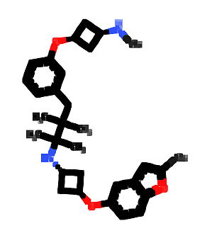 CC(C)(C)N[C@H]1C[C@@H](Oc2cccc(CC(C)(C)C(C)(C)N[C@H]3C[C@H](Oc4ccc5oc(C(C)(C)C)cc5c4)C3)c2)C1